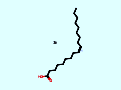 CCCCCCCC/C=C\CCCCCCCC(=O)O.[Zn]